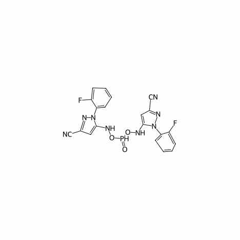 N#Cc1cc(NO[PH](=O)ONc2cc(C#N)nn2-c2ccccc2F)n(-c2ccccc2F)n1